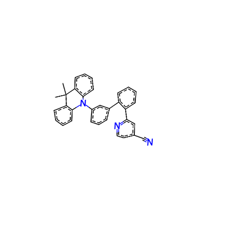 CC1(C)c2ccccc2N(c2cccc(-c3ccccc3-c3cc(C#N)ccn3)c2)c2ccccc21